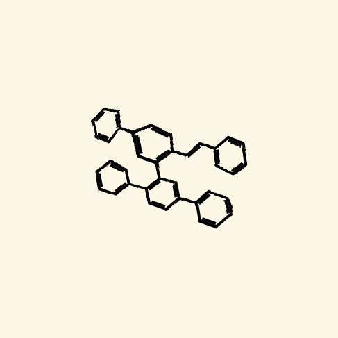 C(=Cc1ccc(-c2ccccc2)cc1-c1cc(-c2ccccc2)ccc1-c1ccccc1)c1ccccc1